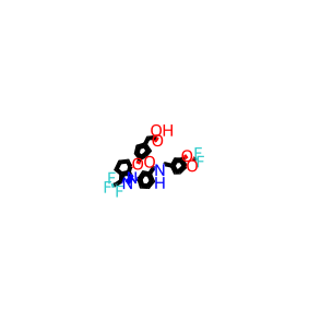 O=C(O)Cc1ccc(OC2CCCc3c(C(F)(F)F)nn(-c4cccc(C(=O)NCc5ccc6c(c5)OC(F)(F)O6)c4)c32)cc1